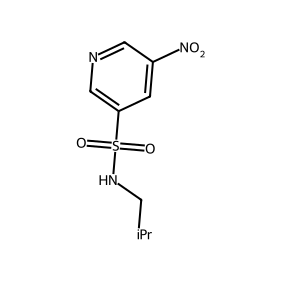 CC(C)CNS(=O)(=O)c1cncc([N+](=O)[O-])c1